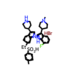 Br.CCc1ccc2c(C3CCNCC3)c[nH]c2c1.CN1CCC(c2c[nH]c3c(F)cccc23)CC1.Cc1ccc(S(=O)(=O)O)cc1